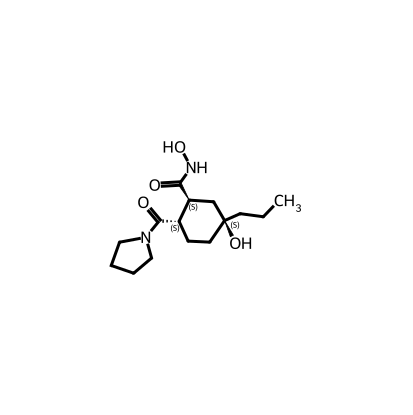 CCC[C@]1(O)CC[C@H](C(=O)N2CCCC2)[C@@H](C(=O)NO)C1